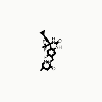 Cc1cnn(Cc2cc3c(cc2F)C(C#CC2CC2)(C(C)(F)F)NC(=O)N3)c(=O)c1